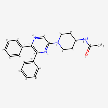 CC(=O)NC1CCN(c2cnc(-c3ccccc3)c(-c3ccccc3)n2)CC1